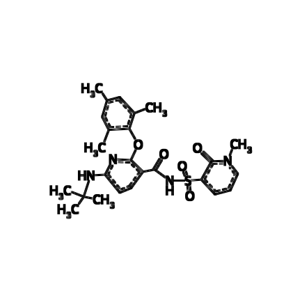 Cc1cc(C)c(Oc2nc(NC(C)(C)C)ccc2C(=O)NS(=O)(=O)c2cccn(C)c2=O)c(C)c1